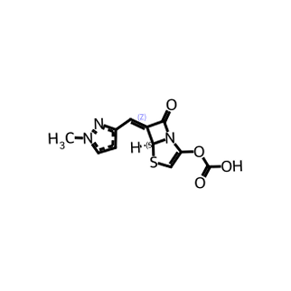 Cn1ccc(/C=C2/C(=O)N3C(OC(=O)O)=CS[C@@H]23)n1